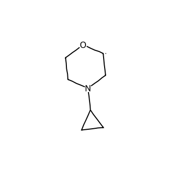 [CH]1CN(C2CC2)CCO1